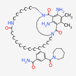 Cc1c(C)c2c(N)c(c1N)C(=O)N1CCCCCCNC(=O)CCCCCCCCCCCN(CCCCCC1)C2=O.NC(=O)c1cccc(C(=O)N2CCCCCC2)c1